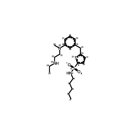 CCCCCNS(=O)(=O)c1ccc(Cc2cccc(N(C)CCNCC)c2)s1